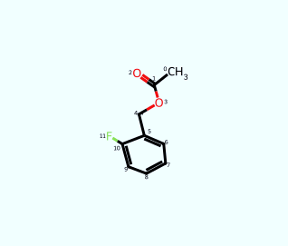 CC(=O)O[CH]c1ccccc1F